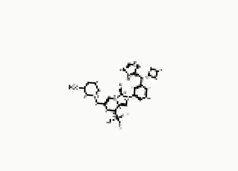 C[C@H]1CCCN(Cc2cc(C(F)(F)F)c3cn(-c4cccc([C@H](c5nnc[nH]5)C5CCC5)c4)c(=O)n3c2)C1